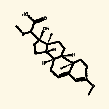 COC1=CC2=CC[C@@H]3[C@H](CC[C@@]4(C)[C@H]3CC[C@]4(O)C(OC)C(=O)O)[C@@]2(C)CC1